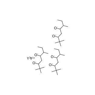 CCC(C)C([O-])CC([O-])C(C)(C)C.CCC(C)C([O-])CC([O-])C(C)(C)C.CCC(C)C([O-])CC([O-])C(C)(C)C.[Y+3].[Y+3]